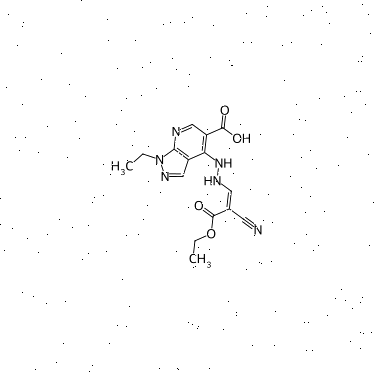 CCOC(=O)C(C#N)=CNNc1c(C(=O)O)cnc2c1cnn2CC